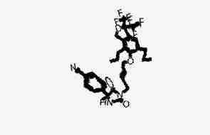 CCCc1cc2c(c(CCC)c1OCCCCN1C(=O)NC(C)(c3ccc(C#N)cc3)C1=O)COC2(C(F)(F)F)C(F)(F)F